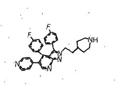 Fc1ccc(-c2c(-c3ccncc3)cnc3nn(CCC4CCNCC4)c(-c4ccc(F)cc4)c23)cc1